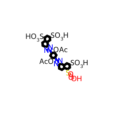 CC(=O)Oc1cc(-n2nc3ccc4c(S(=O)(=O)O)cc(S(=O)(=O)O)cc4c3n2)c(OC(C)=O)cc1-n1nc2ccc3c(SOOO)cc(S(=O)(=O)O)cc3c2n1